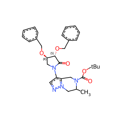 CC1Cn2ncc(N3C[C@@H](OCc4ccccc4)[C@H](OCc4ccccc4)C3=O)c2CN1C(=O)OC(C)(C)C